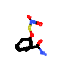 NC(=O)c1ccccc1OS[N+](=O)[O-]